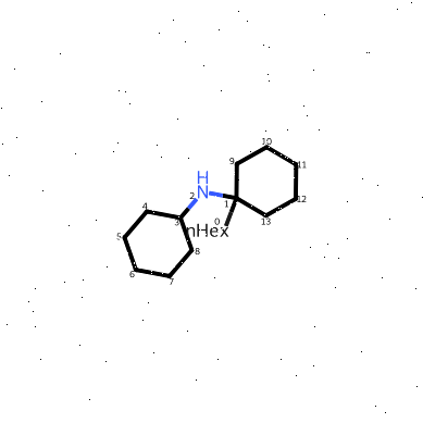 CCCCCCC1(NC2CCCCC2)CCCCC1